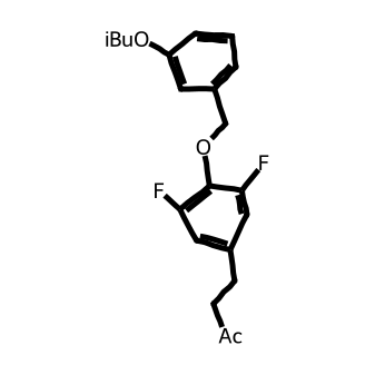 CC(=O)CCc1cc(F)c(OCc2cccc(OCC(C)C)c2)c(F)c1